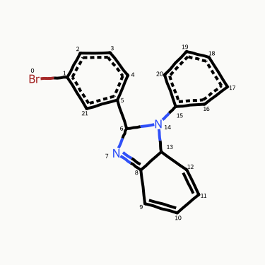 Brc1cccc(C2N=C3C=CC=CC3N2c2ccccc2)c1